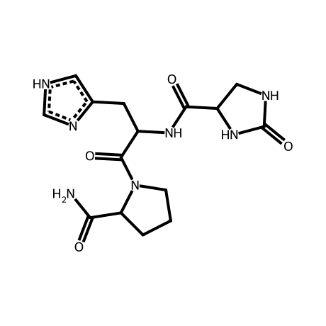 NC(=O)C1CCCN1C(=O)C(Cc1c[nH]cn1)NC(=O)C1CNC(=O)N1